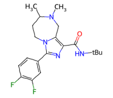 CC1CCn2c(-c3ccc(F)c(F)c3)nc(C(=O)NC(C)(C)C)c2CN1C